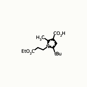 CCOC(=O)CCn1c(C(C)(C)C)cc(C(=O)O)c1C